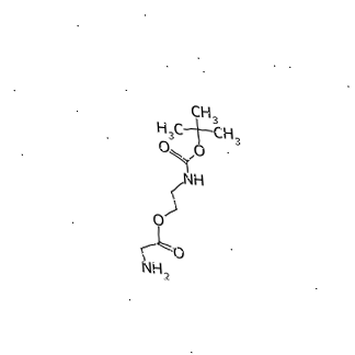 CC(C)(C)OC(=O)NCCOC(=O)CN